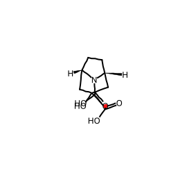 O=C(O)N1[C@@H]2CC[C@H]1CC(O)(C(=O)O)C2